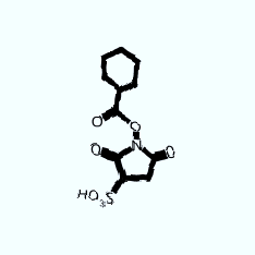 O=C(ON1C(=O)CC(S(=O)(=O)O)C1=O)C1CCCCC1